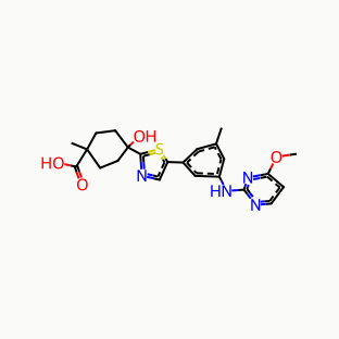 COc1ccnc(Nc2cc(C)cc(-c3cnc(C4(O)CCC(C)(C(=O)O)CC4)s3)c2)n1